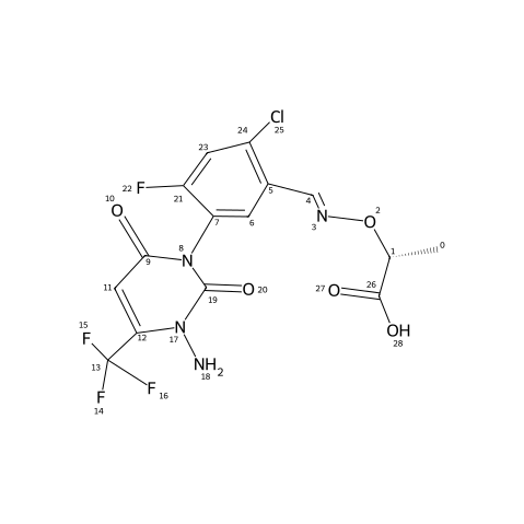 C[C@@H](O/N=C/c1cc(-n2c(=O)cc(C(F)(F)F)n(N)c2=O)c(F)cc1Cl)C(=O)O